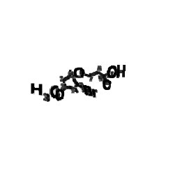 COc1ccc(O/C=C/C(=O)O)c(Br)c1